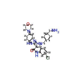 NCc1ccc(CNc2c(-c3nc4cc(N5CCOCC5)ccc4[nH]3)c(=O)[nH]c3cc(Cl)ccc23)cc1